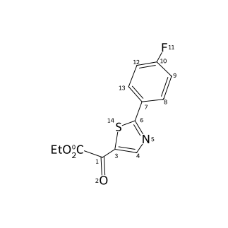 CCOC(=O)C(=O)c1cnc(-c2ccc(F)cc2)s1